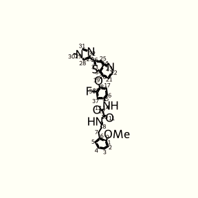 COc1ccccc1CCNC(=O)C(=O)Nc1ccc(Oc2ccnc3cc(-c4cn(C)cn4)sc23)c(F)c1